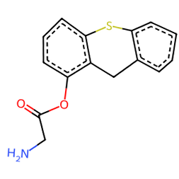 NCC(=O)Oc1cccc2c1Cc1ccccc1S2